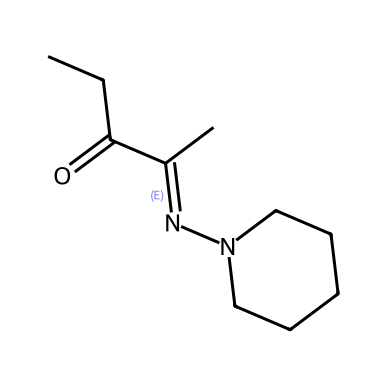 CCC(=O)/C(C)=N/N1CCCCC1